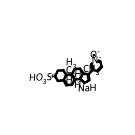 C[C@]12CC[C@H](S(=O)(=O)O)CC1=CC[C@@H]1[C@@H]2CC[C@]2(C)C(c3ccc[n+]([O-])c3)=CC[C@@H]12.[NaH]